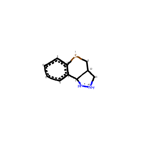 [CH]1Sc2ccccc2C2NNCC12